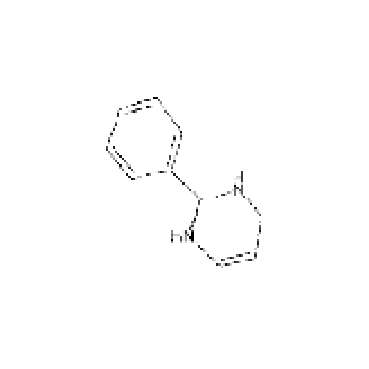 C1=CNC(c2ccccc2)NC1